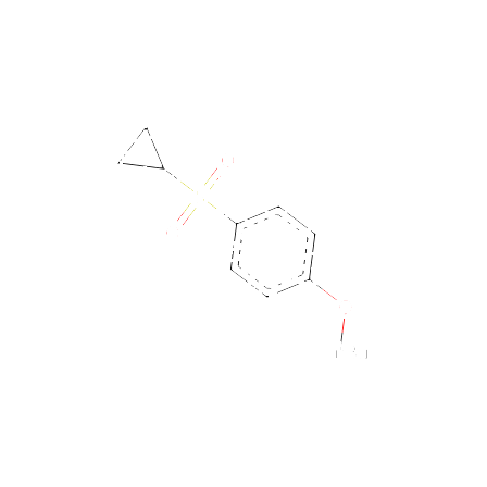 CCCCOc1ccc(S(=O)(=O)C2CC2)cc1